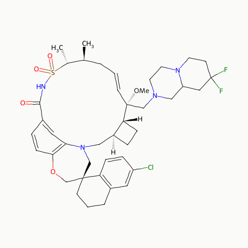 CO[C@@]1(CN2CCN3CCC(F)(F)CC3C2)/C=C/C[C@H](C)[C@@H](C)S(=O)(=O)NC(=O)c2ccc3c(c2)N(C[C@@H]2CC[C@H]21)C[C@@]1(CCCc2cc(Cl)ccc21)CO3